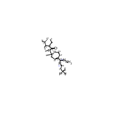 CCC(C(=O)N(C)C1(C)CC=C(C(=N/N)/N=C/CC(F)(F)F)CCC1)C(C)C(C)C